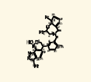 CC[C@@H]1CN(Cc2cc(C(CC(=O)O)c3ccc4c(nnn4CC)c3F)ccc2C)Cc2cccc(F)c2O1